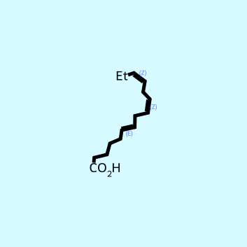 CC/C=C\C/C=C\C/C=C/CCCCC(=O)O